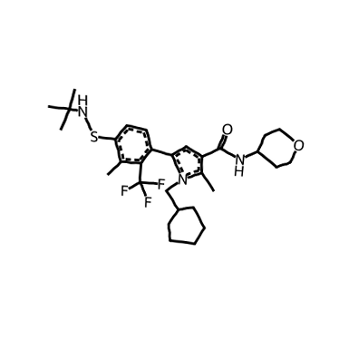 Cc1c(SNC(C)(C)C)ccc(-c2cc(C(=O)NC3CCOCC3)c(C)n2CC2CCCCC2)c1C(F)(F)F